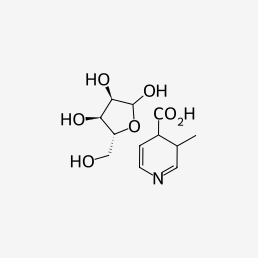 CC1C=NC=CC1C(=O)O.OC[C@H]1OC(O)[C@H](O)[C@@H]1O